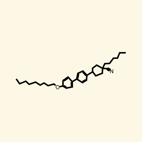 CCCCCCCCCOc1ccc(-c2ccc(C3CCC(C#N)(CCCCCC)CC3)cc2)cc1